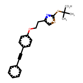 CC(C)(Sc1nc(CCOc2ccc(C#Cc3ccccc3)cc2)cs1)C(=O)O